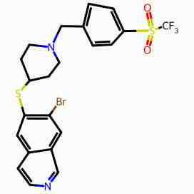 O=S(=O)(c1ccc(CN2CCC(Sc3cc4ccncc4cc3Br)CC2)cc1)C(F)(F)F